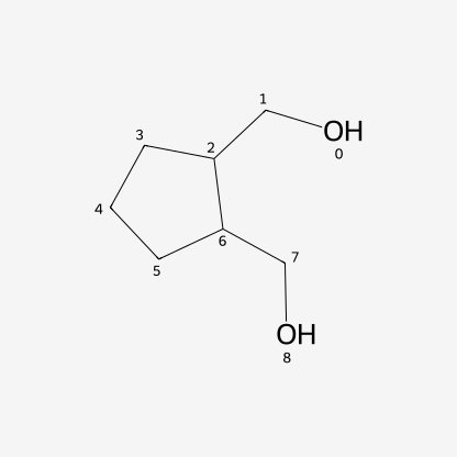 OCC1CCCC1CO